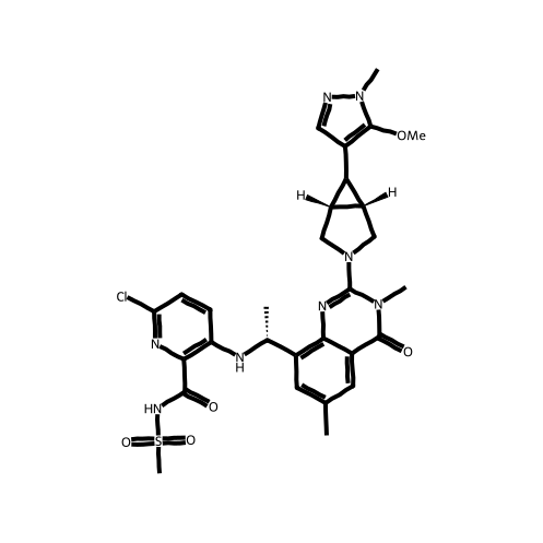 COc1c(C2[C@H]3CN(c4nc5c([C@@H](C)Nc6ccc(Cl)nc6C(=O)NS(C)(=O)=O)cc(C)cc5c(=O)n4C)C[C@@H]23)cnn1C